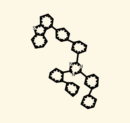 c1ccc(-c2cccc(-c3nc(-c4cccc(-c5ccc(-c6cccc7sc8ccccc8c67)cc5)c4)nc(-c4ccccc4-c4ccccc4)n3)c2)cc1